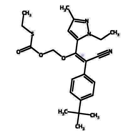 CCSC(=O)OCO/C(=C(/C#N)c1ccc(C(C)(C)C)cc1)c1cc(C)nn1CC